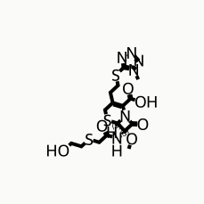 CO[C@@]1(NC(=O)CSCCO)C(=O)N2C(C(=O)O)=C(CCSc3nnnn3C)CS[C@H]21